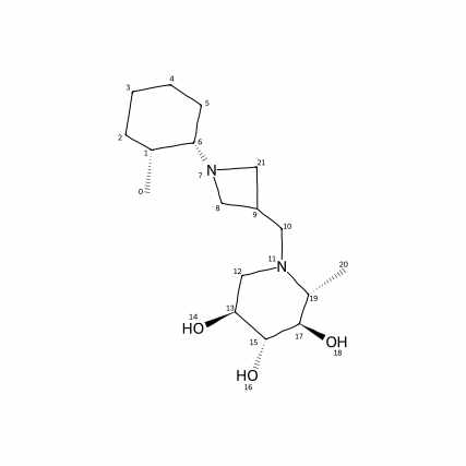 C[C@@H]1CCCC[C@@H]1N1CC(CN2C[C@H](O)[C@@H](O)[C@H](O)[C@H]2C)C1